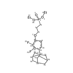 CCOP(=O)(CCCOc1ccc(C23CC4CC(CC(C4)C2)C3)c(F)c1F)OCC